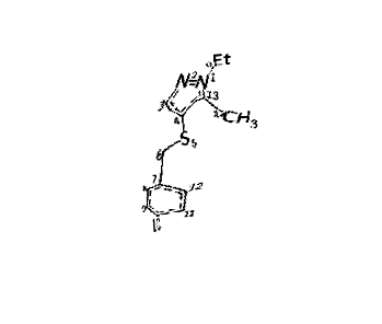 CCn1ncc(SCc2ccccc2)c1C